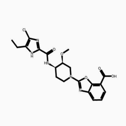 CCc1[nH]c(C(=O)N[C@@H]2CCN(c3nc4cccc(C(=O)O)c4o3)C[C@@H]2OC)nc1Cl